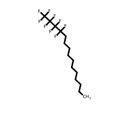 CCCCCCCCCCCC(F)(F)C(F)(F)C(F)(F)C(F)(F)F